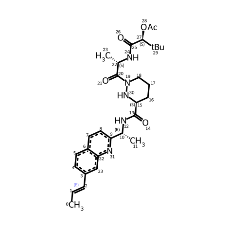 C/C=C/c1ccc2ccc([C@@H](C)NC(=O)[C@@H]3CCCN(C(=O)[C@H](C)NC(=O)[C@@H](OC(C)=O)C(C)(C)C)N3)nc2c1